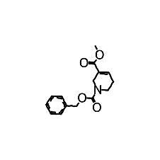 COC(=O)C1=CCCN(C(=O)OCc2ccccc2)C1